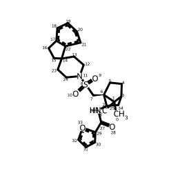 CC1(C)C2CC[C@@]1(CS(=O)(=O)N1CCC3(CCc4ccccc43)CC1)C(NC(=O)c1ccco1)C2